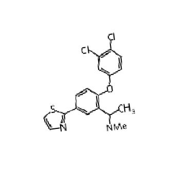 CNC(C)c1cc(-c2nccs2)ccc1Oc1ccc(Cl)c(Cl)c1